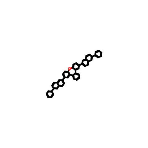 c1ccc(-c2ccc3cc(-c4ccc5c(c4)-c4ccccc4-c4cc(-c6ccc7cc(-c8ccccc8)ccc7c6)ccc4O5)ccc3c2)cc1